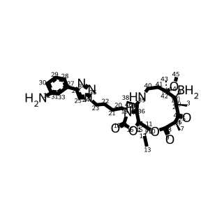 B[C@@H]1[C@@H](C)C(=O)[C@@H](C)C(=O)O[C@H](CC)[C@@]2(C)OC(=O)N(CCCCn3cc(-c4cccc(N)c4)nn3)[C@@H]2[C@@H](C)NCC[C@@]1(C)OC